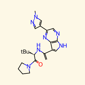 C=C(N[C@@H](C(=O)N1CCCC1)C(C)(C)C)c1c[nH]c2ncc(-c3cnn(C)c3)nc12